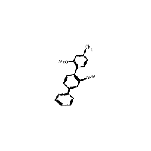 COc1cc(C)ccc1-c1ccc(-c2ccccc2)cc1OC